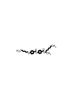 CCCCCCOc1ccc(C(=O)Oc2ccc(C(=O)O[C@H](C)CCCCCC)cc2)cc1